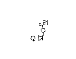 O=C(NO)c1ccc(Cn2nnc(-c3ccccn3)n2)cc1